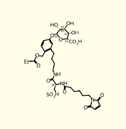 CCC(=O)OCc1ccc(O[C@@H]2O[C@H](C(=O)O)[C@@H](O)[C@H](O)[C@H]2O)cc1CCCCNC(=O)[C@H](CS(=O)(=O)O)NC(=O)CCCCCN1C(=O)C=CC1=O